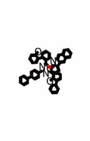 c1ccc(-c2ccc(-c3nc(-c4cccc5c4oc4ccccc45)nc(-c4c(-n5c6ccccc6c6cc7ccccc7cc65)ccc5oc6ccccc6c45)n3)cc2)cc1